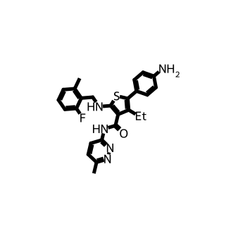 CCc1c(-c2ccc(N)cc2)sc(NCc2c(C)cccc2F)c1C(=O)Nc1ccc(C)nn1